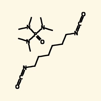 CN(C)P(=O)(N(C)C)N(C)C.O=C=NCCCCCCN=C=O